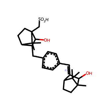 CC1(C)C2CCC1(C)C(O)/C2=C/c1ccc(CC2C3CCC(CS(=O)(=O)O)(C2O)C3(C)C)cc1